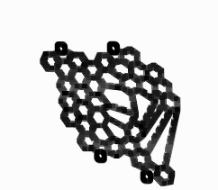 c1cc2oc3cc4c5cc6oc7ccc8c9ccc%10cc%11cc%12c%13cccc%14oc%15cc%16c%17cc%18oc%19ccc%20c%21ccc%22cc%23cc%24c(c1)c2c3c1c4c2c3c4c%25c%26c%27c%28c%29c(c%30c8c7c6c(c53)C%30C4%28)c9c%10c3c%11c4c%12c(c%15c%14%13)c%16c5c6c%17c7c%18c%19c%20c8c9c%21c%22c%10c%23c(c%241)c2c%25c%10c9c%26c(c6c%27c(c%293)c45)c78